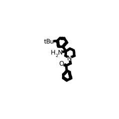 CC(C)(C)c1cccc(C2(N)CCCN(CC(=O)c3ccccc3)C2)c1